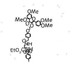 CCOC(=O)C(CNC(=O)Cc1ccc(OCCOc2c(-c3ccc(OC)c(OC)c3)oc3cc(OC)cc(OC)c3c2=O)cc1)NS(=O)(=O)c1ccc(C)cc1